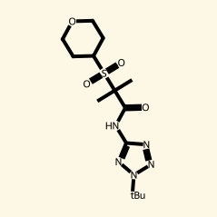 CC(C)(C)n1nnc(NC(=O)C(C)(C)S(=O)(=O)C2CCOCC2)n1